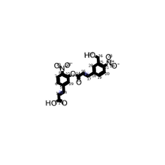 O=C(O)/C=C/c1ccc([N+](=O)[O-])c(OC(=O)/C=C/c2ccc([N+](=O)[O-])c(CO)c2)c1